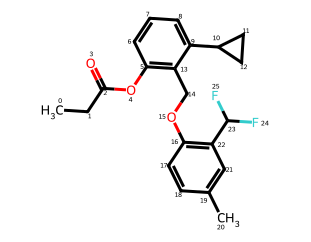 CCC(=O)Oc1cccc(C2CC2)c1COc1ccc(C)cc1C(F)F